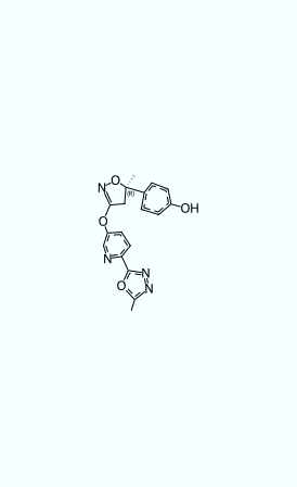 Cc1nnc(-c2ccc(OC3=NO[C@@](C)(c4ccc(O)cc4)C3)cn2)o1